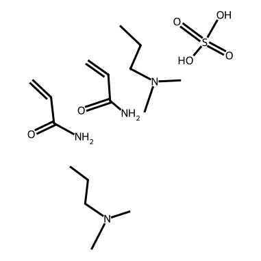 C=CC(N)=O.C=CC(N)=O.CCCN(C)C.CCCN(C)C.O=S(=O)(O)O